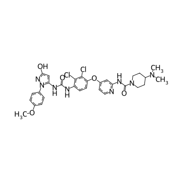 COc1ccc(-n2nc(O)cc2NC(=O)Nc2ccc(Oc3ccnc(NC(=O)N4CCC(N(C)C)CC4)c3)c(Cl)c2Cl)cc1